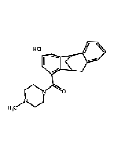 CN1CCN(C(=O)c2cccc3c2C2Cc4ccccc4C3C2)CC1.Cl